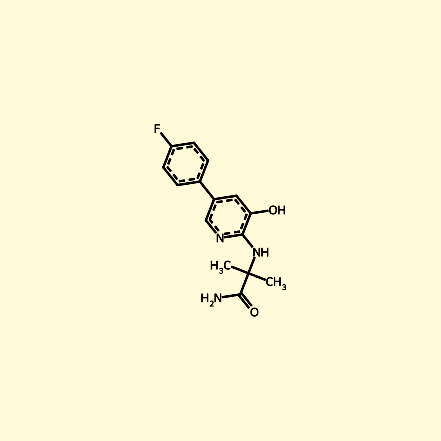 CC(C)(Nc1ncc(-c2ccc(F)cc2)cc1O)C(N)=O